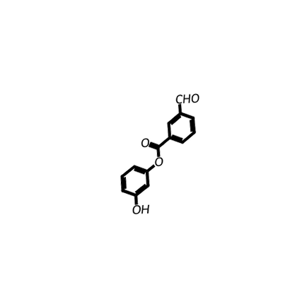 O=Cc1cccc(C(=O)Oc2cccc(O)c2)c1